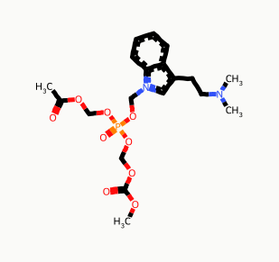 COC(=O)OCOP(=O)(OCOC(C)=O)OCn1cc(CCN(C)C)c2ccccc21